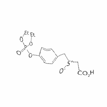 CCOP(=O)(OCC)Oc1ccc(C[S+]([O-])CC(=O)O)cc1